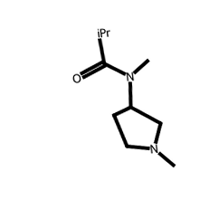 CC(C)C(=O)N(C)C1CCN(C)C1